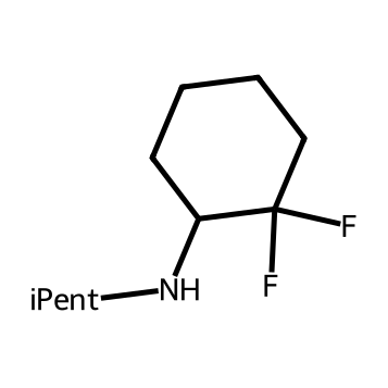 CCCC(C)NC1CCCCC1(F)F